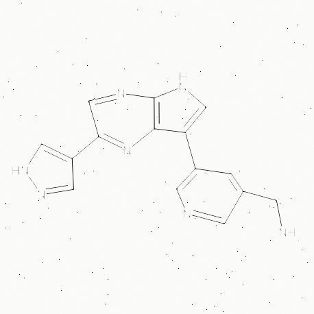 NCc1cncc(-c2c[nH]c3ncc(-c4cn[nH]c4)nc23)c1